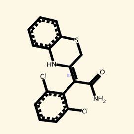 NC(=O)/C(=C1\CSc2ccccc2N1)c1c(Cl)cccc1Cl